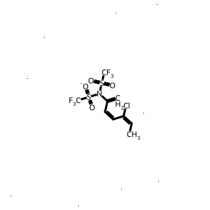 C=C(/C=C\C(Cl)=C/C)N(S(=O)(=O)C(F)(F)F)S(=O)(=O)C(F)(F)F